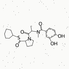 CC(C(=O)N1CCCC1C(=O)SC1CCCCC1)N(C)C(=O)c1ccc(O)c(O)c1